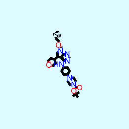 CC(C)(C)OC(=O)N1CCN(C2CCC(Nc3ncnc4c3c(C3CCOCC3)cn4COCC[Si](C)(C)C)CC2)CC1